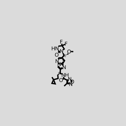 COC[C@H](c1cnn2cc([C@H](CCC3(C)CC3)NC(=O)c3nonc3C)nc2c1)N1CC(F)(F)CNC1=O